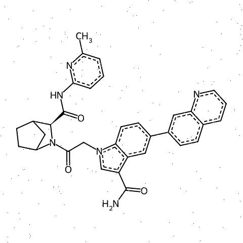 Cc1cccc(NC(=O)[C@@H]2C3CCC(C3)N2C(=O)Cn2cc(C(N)=O)c3cc(-c4ccc5cccnc5c4)ccc32)n1